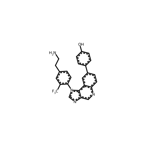 NCCc1ccc(-n2cnc3cnc4ccc(-c5ccc(O)cc5)cc4c32)c(C(F)(F)F)c1